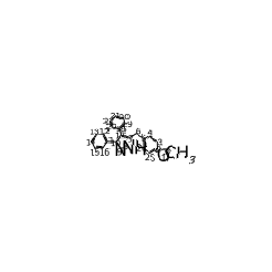 COc1ccc(Cc2[nH]nc(-c3ccccc3)c2-c2ccccc2)cc1